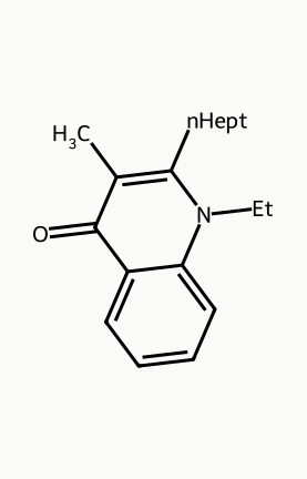 CCCCCCCc1c(C)c(=O)c2ccccc2n1CC